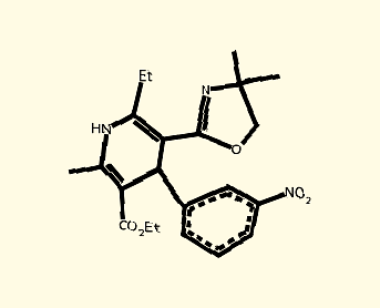 CCOC(=O)C1=C(C)NC(CC)=C(C2=NC(C)(C)CO2)C1c1cccc([N+](=O)[O-])c1